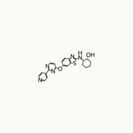 O[C@@H]1CCCC[C@H]1Nc1nc2ccc(Oc3ccnc(-c4ccncc4)n3)cc2s1